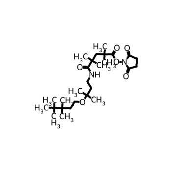 CC(C)(CCNC(=O)C(C)(C)CC(C)(C)C(=O)ON1C(=O)CCC1=O)OCCC(C)(C)C(C)(C)C